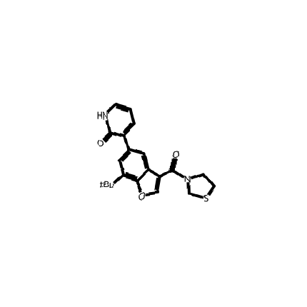 CC(C)(C)c1cc(-c2ccc[nH]c2=O)cc2c(C(=O)N3CCSC3)coc12